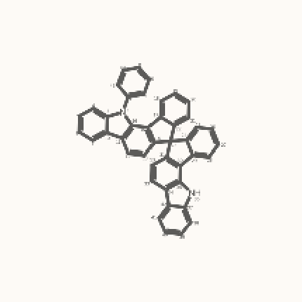 c1ccc(-n2c3ccccc3c3ccc4c(c32)-c2ccccc2C42c3ccccc3-c3c2ccc2c3[nH]c3ccccc32)cc1